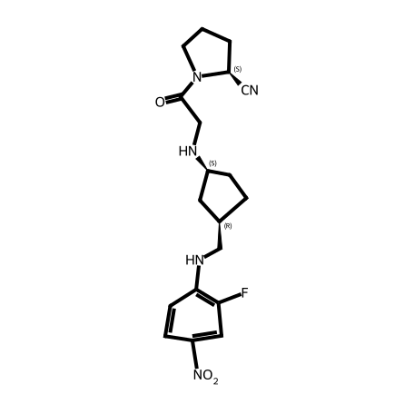 N#C[C@@H]1CCCN1C(=O)CN[C@H]1CC[C@@H](CNc2ccc([N+](=O)[O-])cc2F)C1